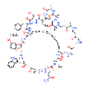 CC(=O)N[C@@H](CC(C)C)C(=O)N[C@H](C(=O)N[C@@H](Cc1ccccc1)C(=O)N[C@]1(C)CCCCCC/C=C/CCC[C@@](C)(C(=O)CN[C@@H](C)C(=O)CCN[C@@H](C)C(=O)CCN[C@@H](C)C(=O)CCN[C@@H](C)C(=O)CN[C@H](C)C(=O)N[C@H](C)C(N)=O)NC(=O)[C@H](CC(C)C)NC(=O)[C@H](CCC(N)=O)NCN[C@@H](C)C(=O)CC(=O)[C@H](Cc2c[nH]c3ccccc23)NN[C@@H](Cc2ccc(O)cc2)C(=O)C(=O)[C@H](CCC(=O)O)NC1=O)[C@@H](C)O